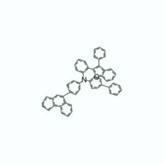 c1ccc(-c2ccc(N(c3ccc(-c4cc5ccccc5c5ccccc45)cc3)c3ccccc3-c3oc4ccccc4c3-c3ccccc3)cc2)cc1